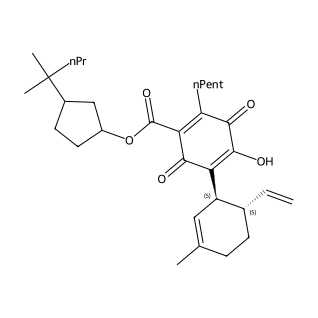 C=C[C@@H]1CCC(C)=C[C@H]1C1=C(O)C(=O)C(CCCCC)=C(C(=O)OC2CCC(C(C)(C)CCC)C2)C1=O